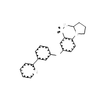 O=S1(=O)NC2CCCN2c2ccc(Oc3cccc(-c4ccccn4)c3)cc21